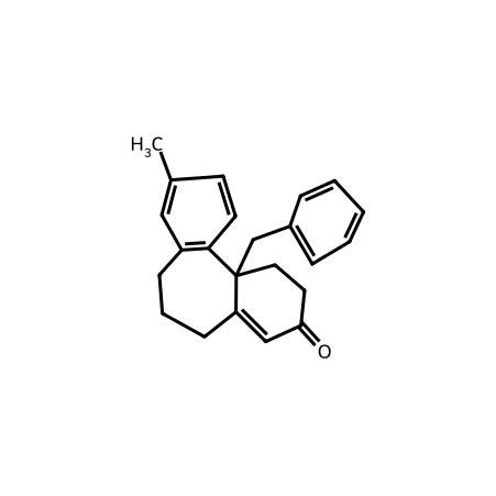 Cc1ccc2c(c1)CCCC1=CC(=O)CCC12Cc1ccccc1